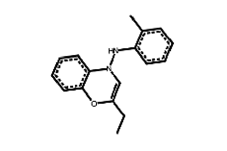 CCC1=CN(Nc2ccccc2C)c2ccccc2O1